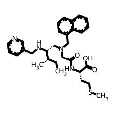 CC[C@H](C)[C@@H](CN(CC(=O)N[C@@H](CCSC)C(=O)O)Cc1cccc2ccccc12)NCc1cccnc1